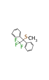 CSC(c1ccccc1)(c1ccccc1)C(F)(F)F